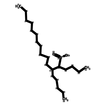 CCCCCCCCCCCC(CCCCC)C(CCCC)[N+](=O)[O-]